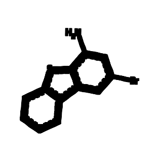 Nc1cc(Br)cc2c1sc1ccccc12